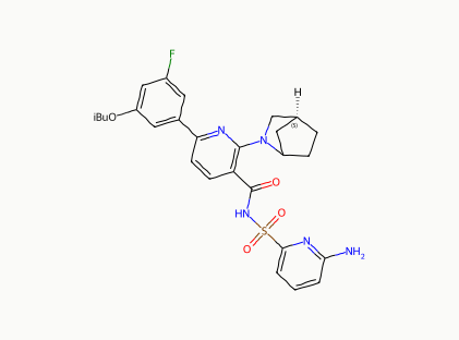 CC(C)COc1cc(F)cc(-c2ccc(C(=O)NS(=O)(=O)c3cccc(N)n3)c(N3C[C@H]4CCC3C4)n2)c1